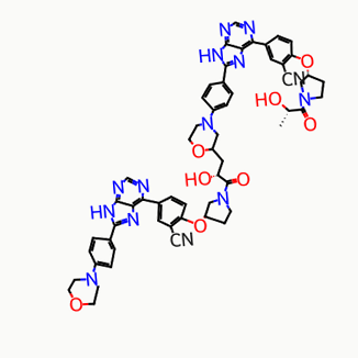 C[C@H](O)C(=O)N1CC[C@@H](Oc2ccc(-c3ncnc4[nH]c(-c5ccc(N6CCOC(C[C@@H](O)C(=O)N7CC[C@@H](Oc8ccc(-c9ncnc%10[nH]c(-c%11ccc(N%12CCOCC%12)cc%11)nc9%10)cc8C#N)C7)C6)cc5)nc34)cc2C#N)C1